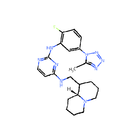 Cc1nnnn1-c1ccc(F)c(Nc2nccc(NCC3CCCN4CCCC[C@H]34)n2)c1